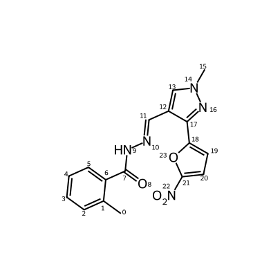 Cc1ccccc1C(=O)NN=Cc1cn(C)nc1-c1ccc([N+](=O)[O-])o1